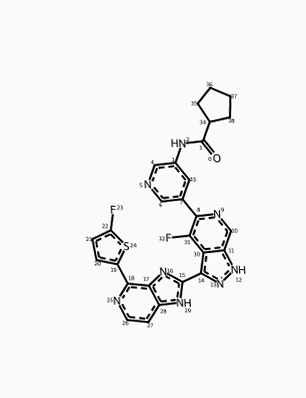 O=C(Nc1cncc(-c2ncc3[nH]nc(-c4nc5c(-c6ccc(F)s6)nccc5[nH]4)c3c2F)c1)C1CCCC1